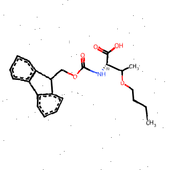 CCCCOC(C)[C@H](NC(=O)OCC1c2ccccc2-c2ccccc21)C(=O)O